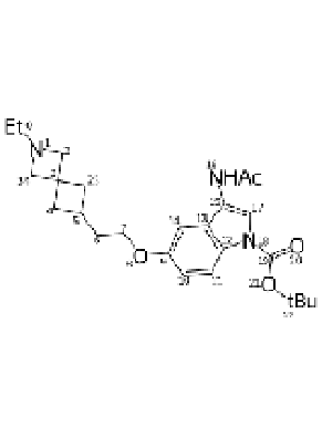 CCN1CC2(CC(CCOc3ccc4c(c3)c(NC(C)=O)cn4C(=O)OC(C)(C)C)C2)C1